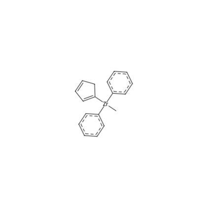 [CH3][Zr]([C]1=CC=CC1)([c]1ccccc1)[c]1ccccc1